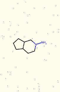 NN1CCC2CCCC2C1